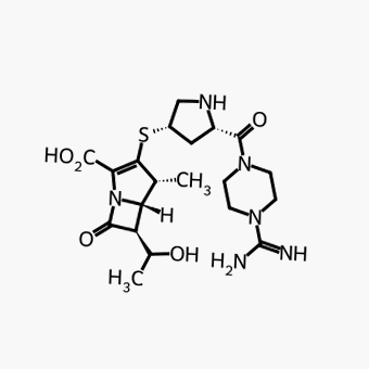 CC(O)[C@H]1C(=O)N2C(C(=O)O)=C(S[C@@H]3CN[C@H](C(=O)N4CCN(C(=N)N)CC4)C3)[C@H](C)[C@H]12